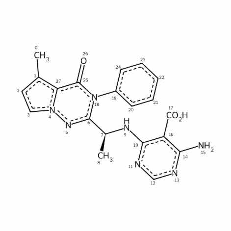 Cc1ccn2nc([C@H](C)Nc3ncnc(N)c3C(=O)O)n(-c3ccccc3)c(=O)c12